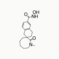 CN1CCCCCC2(CCc3cc(C(=O)NO)ccc3C2)C1=O